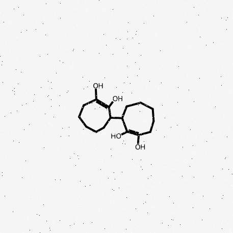 O/C1=C(\O)C(C2CCCCC/C(O)=C\2O)CCCCC1